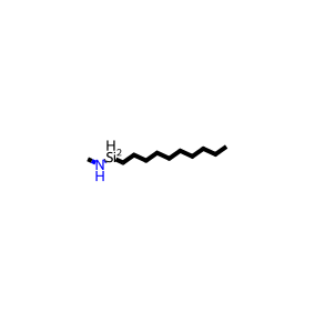 CCCCCCCCCC[SiH2]NC